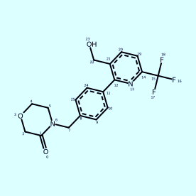 O=C1COCCN1Cc1ccc(-c2nc(C(F)(F)F)ccc2CO)cc1